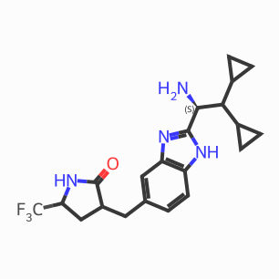 N[C@H](c1nc2cc(CC3CC(C(F)(F)F)NC3=O)ccc2[nH]1)C(C1CC1)C1CC1